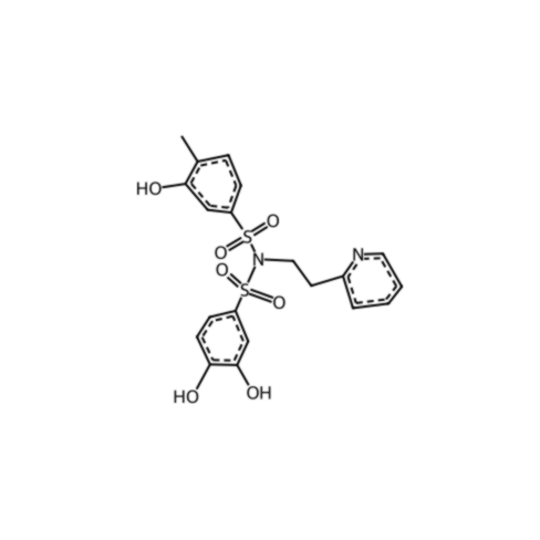 Cc1ccc(S(=O)(=O)N(CCc2ccccn2)S(=O)(=O)c2ccc(O)c(O)c2)cc1O